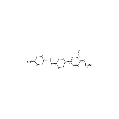 CCC[C@H]1CC[C@H](CCC2CCC(c3ccc(COC)c(F)c3)CC2)CC1